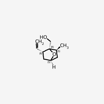 C=C[C@H]1C[C@@H]2C[C@H](C)[C@@]1(CO)O2